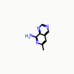 Cc1cc2cncnc2c(N)n1